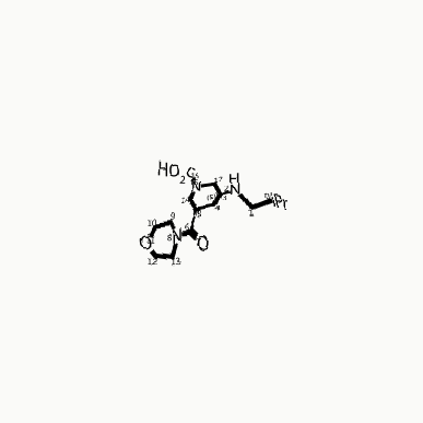 CC(C)CN[C@H]1C[C@@H](C(=O)N2CCOCC2)CN(C(=O)O)C1